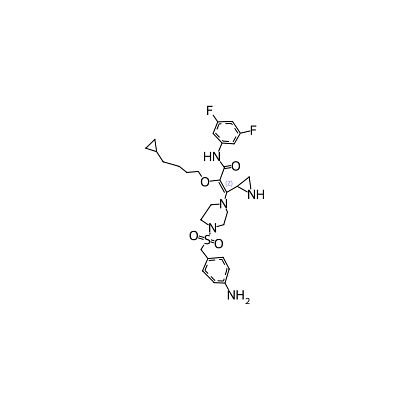 Nc1ccc(CS(=O)(=O)N2CCN(/C(=C(\OCCCCC3CC3)C(=O)Nc3cc(F)cc(F)c3)C3CN3)CC2)cc1